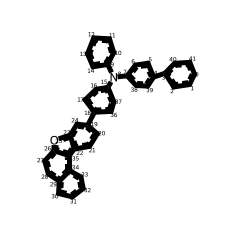 c1ccc(-c2ccc(N(c3ccccc3)c3ccc(-c4ccc5c(c4)oc4ccc6ccccc6c45)cc3)cc2)cc1